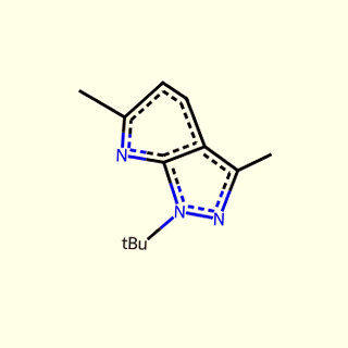 Cc1ccc2c(C)nn(C(C)(C)C)c2n1